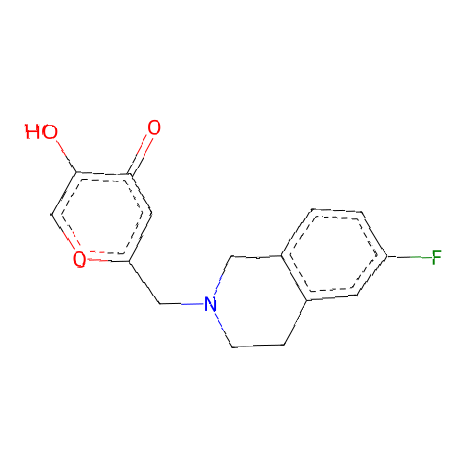 O=c1cc(CN2CCc3cc(F)ccc3C2)occ1O